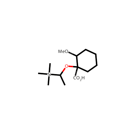 COC1CCCCC1(OC(C)[Si](C)(C)C)C(=O)O